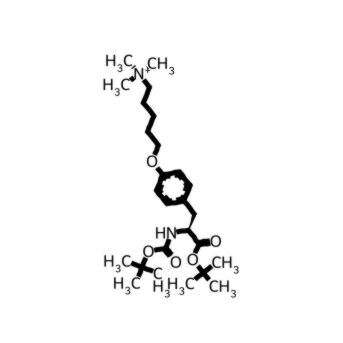 CC(C)(C)OC(=O)N[C@@H](Cc1ccc(OCCCCC[N+](C)(C)C)cc1)C(=O)OC(C)(C)C